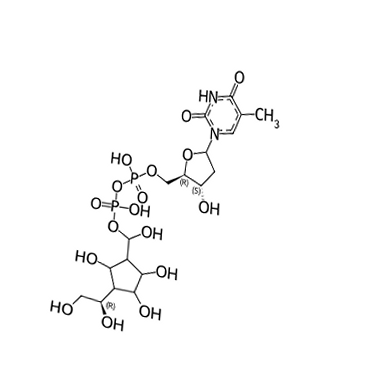 Cc1cn(C2C[C@H](O)[C@@H](COP(=O)(O)OP(=O)(O)OC(O)C3C(O)C(O)C([C@@H](O)CO)C3O)O2)c(=O)[nH]c1=O